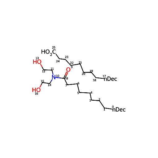 CCCCCCCCCCCCCCCCCC(=O)N(CCO)CCO.CCCCCCCCCCCCCCCCCC(=O)O